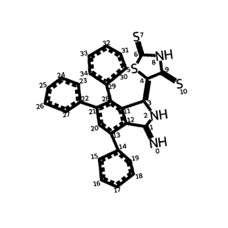 N=C1NC(=C2SC(=S)NC2=S)c2c1c(-c1ccccc1)cc(-c1ccccc1)c2-c1ccccc1